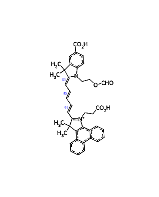 CC1(C)C(/C=C/C=C/C=C2\N(CCOC=O)c3ccc(C(=O)O)cc3C2(C)C)=[N+](CCC(=O)O)c2c1c1ccccc1c1ccccc21